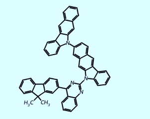 CC1(C)c2ccccc2-c2ccc(-c3nc(-n4c5ccccc5c5cc6ccc(-n7c8ccccc8c8cc9ccccc9cc87)cc6cc54)nc4ccccc34)cc21